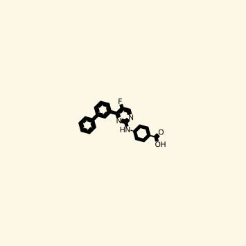 O=C(O)[C@H]1CC[C@H](Nc2ncc(F)c(-c3cccc(-c4ccccc4)c3)n2)CC1